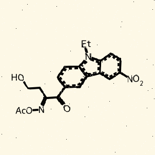 CCn1c2ccc(C(=O)/C(CCO)=N/OC(C)=O)cc2c2cc([N+](=O)[O-])ccc21